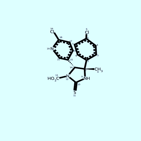 C[C@@]1(c2ccc(Cl)cc2)NC(=S)N(C(=O)O)[C@@H]1c1ccc(Cl)nc1